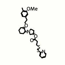 COc1cc(CCO[C@@H]2CCCC[C@H]2N2CC[C@@H](OC(=O)CCSSc3ccccn3)C2)ccc1C